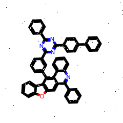 c1ccc(-c2ccc(-c3nc(-c4ccccc4)nc(-c4cccc(-c5c6c(cc7c(-c8ccccc8)nc8ccccc8c57)oc5ccccc56)c4)n3)cc2)cc1